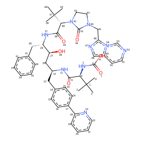 CC(C)(C)[C@H](NC(=O)O)C(=O)N[C@@H](Cc1ccc(-c2ccccn2)cc1)C[C@H](O)[C@H](Cc1ccccc1)NC(=O)[C@@H](N1CCN(Cc2ncc3ccncn23)C1=O)C(C)(C)C